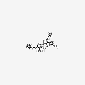 Cn1nnnc1SC=CC1=C(C(=O)O)N2C(=O)C(NC(=O)C(=NOCC(=O)O)c3csc(N)n3)C2SC1